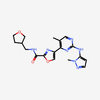 Cc1cnc(Nc2ccnn2C)nc1-c1coc(C(=O)NCC2CCOC2)n1